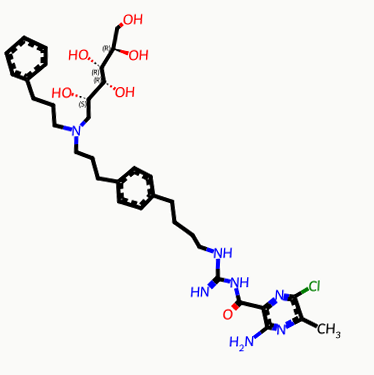 Cc1nc(N)c(C(=O)NC(=N)NCCCCc2ccc(CCCN(CCCc3ccccc3)C[C@H](O)[C@@H](O)[C@H](O)[C@H](O)CO)cc2)nc1Cl